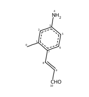 Cc1cc(N)ccc1C=CC=O